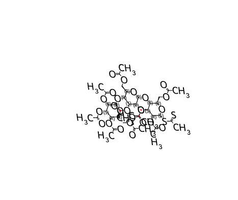 CC(=O)OC[C@H]1O[C@@H](SC(C)=S)[C@H](OC(C)=O)[C@@H](OC(C)=O)[C@@H]1O[C@H]1O[C@H](COC(C)=O)[C@@H](O[C@H]2O[C@H](COC(C)=O)[C@@H](OC(C)=O)[C@H](OC(C)=O)[C@H]2OC(C)=O)[C@H](OC(C)=O)[C@H]1OC(C)=O